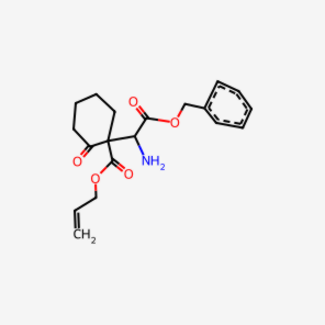 C=CCOC(=O)C1(C(N)C(=O)OCc2ccccc2)CCCCC1=O